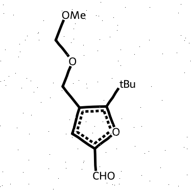 COCOCc1cc(C=O)oc1C(C)(C)C